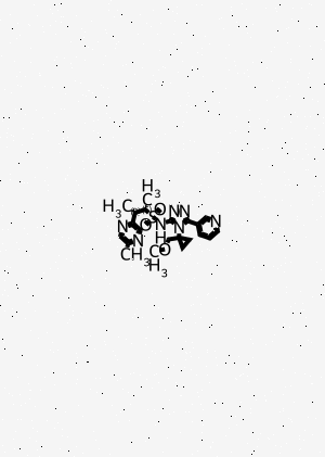 COCC1(n2c(NS(=O)(=O)[C@@H](C)[C@H](C)c3cnc(C)cn3)nnc2-c2cccnc2)CC1